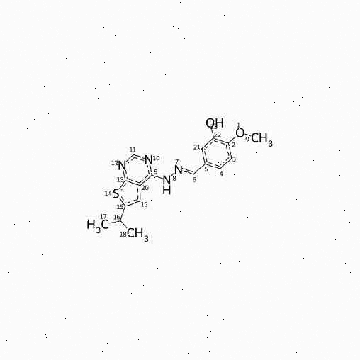 COc1ccc(C=NNc2ncnc3sc(C(C)C)cc23)cc1O